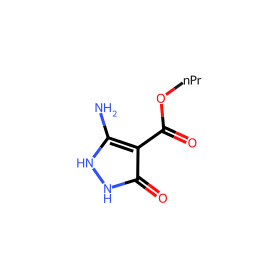 CCCOC(=O)c1c(N)[nH][nH]c1=O